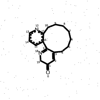 O=C1C=C2CCCCCCCc3ncccc3C2=NC1